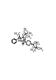 C[C@@H]1[C@H](c2ccccc2)[C@]1(NS(=O)(=O)N1CCN(C(=O)OC(C)(C)C)CC1)C(=O)OC(C)(C)C